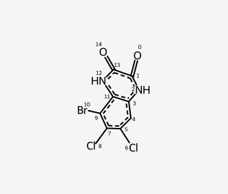 O=c1[nH]c2cc(Cl)c(Cl)c(Br)c2[nH]c1=O